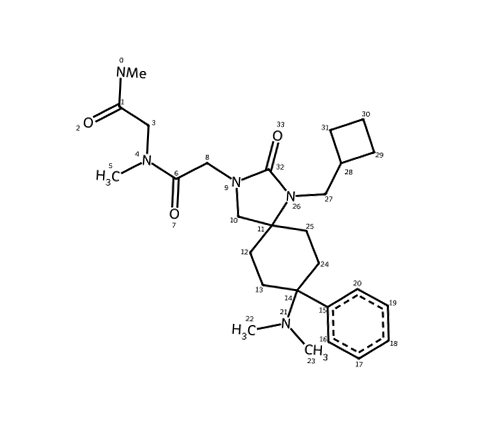 CNC(=O)CN(C)C(=O)CN1CC2(CCC(c3ccccc3)(N(C)C)CC2)N(CC2CCC2)C1=O